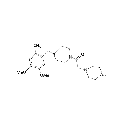 COc1cc(C)c(CN2CCN(C(=O)CN3CCNCC3)CC2)cc1OC